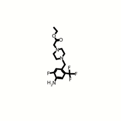 CCOC(=O)CN1CCN(Cc2cc(F)c(N)cc2C(F)(F)F)CC1